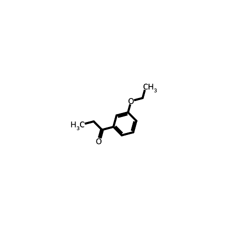 CCOc1cccc(C(=O)CC)c1